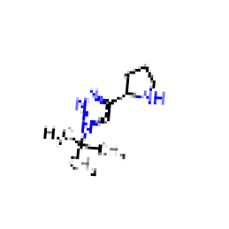 CC(C)(C)n1cc([C@H]2CCCN2)nn1